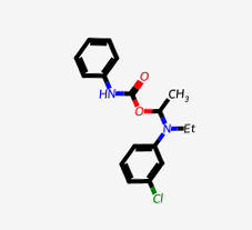 CCN(c1cccc(Cl)c1)C(C)OC(=O)Nc1ccccc1